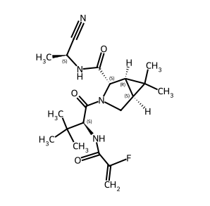 C=C(F)C(=O)N[C@H](C(=O)N1C[C@H]2[C@@H]([C@H]1C(=O)N[C@@H](C)C#N)C2(C)C)C(C)(C)C